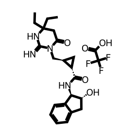 CCC1(CC)CC(=O)N(C[C@H]2C[C@@H]2C(=O)N[C@@H]2c3ccccc3C[C@H]2O)C(=N)N1.O=C(O)C(F)(F)F